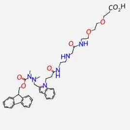 CN(Cc1cc2ccccc2n1CCC(=O)NCCNCC(=O)NCCOCCOCCC(=O)O)N(C)C(=O)OCC1c2ccccc2-c2ccccc21